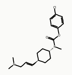 CN(C)CC=C[C@H]1CC[C@H](N(C)C(=O)Oc2ccc(Cl)cc2)CC1